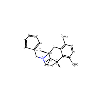 COc1ccc(C=O)c2c1C[C@H]1N(Cc3ccccc3)CC[C@]2(C)C1(C)C